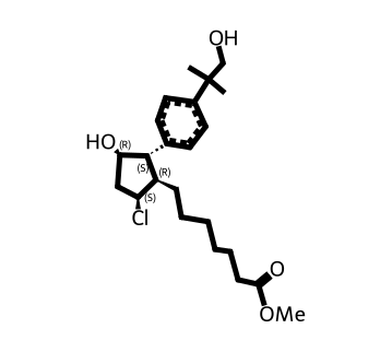 COC(=O)CCCCCC[C@@H]1[C@@H](c2ccc(C(C)(C)CO)cc2)[C@H](O)C[C@@H]1Cl